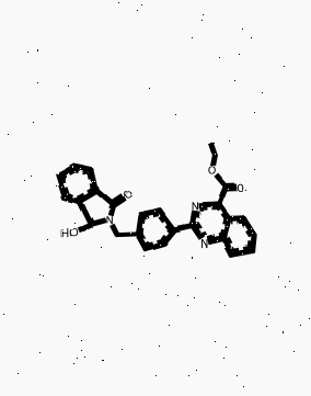 CCOC(=O)c1nc(-c2ccc(CN3C(=O)c4ccccc4C3O)cc2)nc2ccccc12